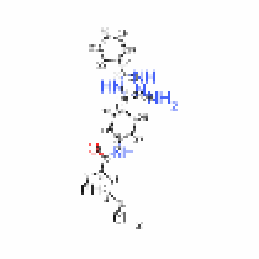 CCCCC(CC)C(=O)Nc1ccc(C2NC(c3ccccc3)NN2N)cc1